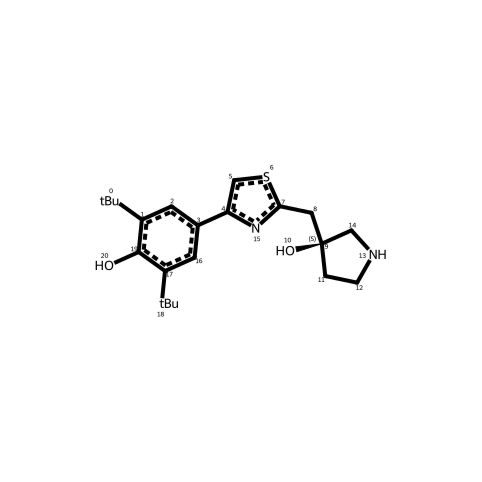 CC(C)(C)c1cc(-c2csc(C[C@@]3(O)CCNC3)n2)cc(C(C)(C)C)c1O